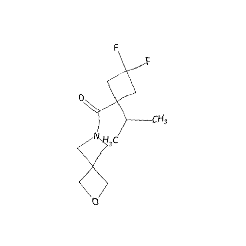 CC(C)C1(C(=O)N2CC3(COC3)C2)CC(F)(F)C1